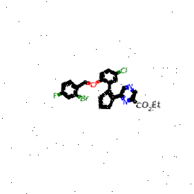 CCOC(=O)c1cncc(C2=C(c3cc(Cl)ccc3OCc3ccc(F)cc3Br)CCC2)n1